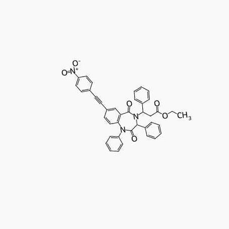 CCOC(=O)CC(c1ccccc1)N1C(=O)c2cc(C#Cc3ccc([N+](=O)[O-])cc3)ccc2N(c2ccccc2)C(=O)C1c1ccccc1